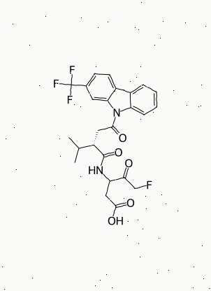 CC(C)[C@H](CC(=O)n1c2ccccc2c2ccc(C(F)(F)F)cc21)C(=O)NC(CC(=O)O)C(=O)CF